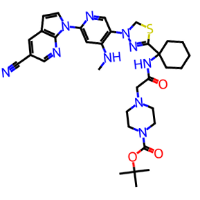 CNc1cc(-n2ccc3cc(C#N)cnc32)ncc1N1CSC(C2(NC(=O)CN3CCN(C(=O)OC(C)(C)C)CC3)CCCCC2)=N1